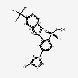 CCS(=O)(=O)c1ccc(-n2cnc(Cl)n2)nc1-n1cc2cnc(C(F)(F)F)cc2n1